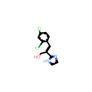 OCC(=Cc1ccc(Cl)cc1Cl)c1ncc[nH]1